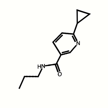 CCCNC(=O)c1ccc(C2CC2)nc1